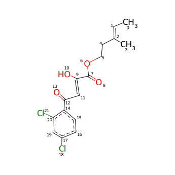 C/C=C(\C)CCOC(=O)/C(O)=C/C(=O)c1ccc(Cl)cc1Cl